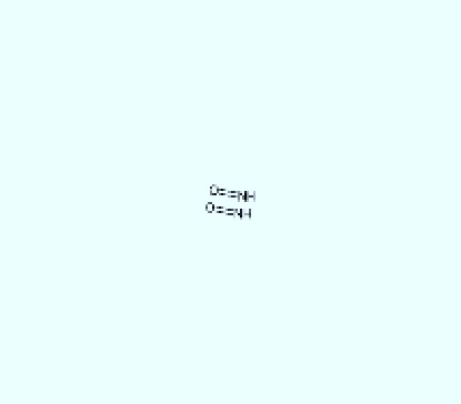 N=O.N=O